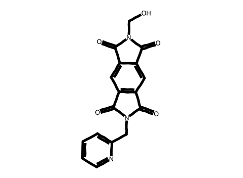 O=c1c2cc3c(=O)n(Cc4ccccn4)c(=O)c3cc2c(=O)n1CO